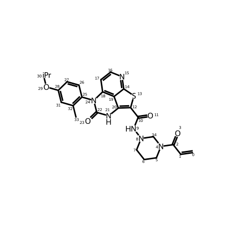 C=CC(=O)N1CCCN(NC(=O)c2sc3nccc4c3c2NC(=O)N4c2ccc(OC(C)C)cc2C)C1